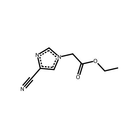 CCOC(=O)Cn1cnc(C#N)c1